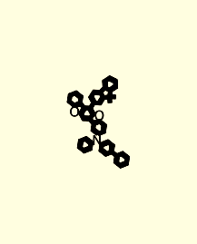 CC1(C)c2ccccc2-c2ccc(-c3c4oc5ccc(N(c6ccccc6)c6ccc(-c7ccccc7)cc6)cc5c4cc4oc5c(c34)C=CCC5)cc21